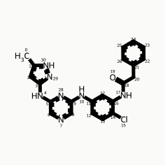 Cc1cc(Nc2cncc(Nc3ccc(Cl)c(NC(=O)Cc4ccccc4)c3)n2)n[nH]1